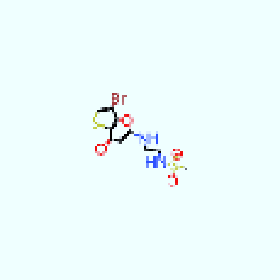 CS(=O)(=O)NCCNc1cc(=O)c2scc(Br)c2o1